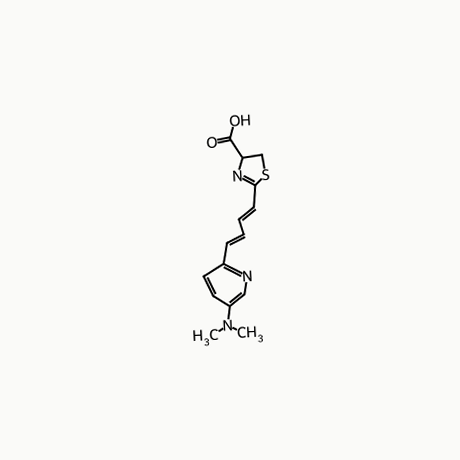 CN(C)c1ccc(/C=C/C=C/C2=NC(C(=O)O)CS2)nc1